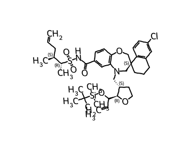 C=CC[C@H](C)[C@@H](C)S(=O)(=O)NC(=O)c1ccc2c(c1)N(C[C@@H]1CCO[C@H]1C(C=C)O[Si](C)(C)C(C)(C)C)C[C@@]1(CCCc3cc(Cl)ccc31)CO2